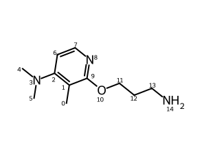 Cc1c(N(C)C)ccnc1OCCCN